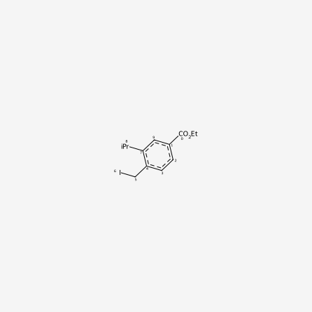 CCOC(=O)c1ccc(CI)c(C(C)C)c1